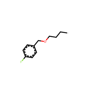 [CH2]CCCOCc1ccc(F)cc1